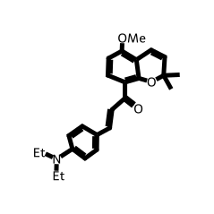 CCN(CC)c1ccc(C=CC(=O)c2ccc(OC)c3c2OC(C)(C)C=C3)cc1